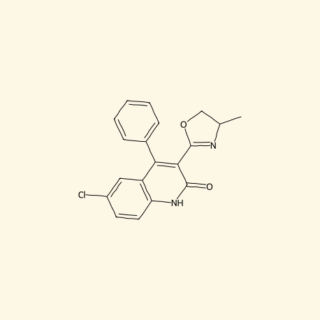 CC1COC(c2c(-c3ccccc3)c3cc(Cl)ccc3[nH]c2=O)=N1